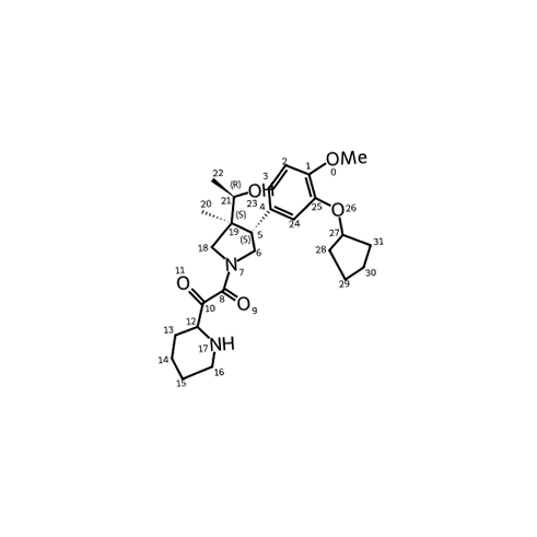 COc1ccc([C@@H]2CN(C(=O)C(=O)C3CCCCN3)C[C@@]2(C)[C@@H](C)O)cc1OC1CCCC1